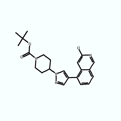 CC(C)(C)OC(=O)N1CCC(n2cc(-c3cccc4cnc(Cl)cc34)cn2)CC1